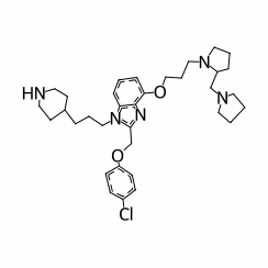 Clc1ccc(OCc2nc3c(OCCCN4CCCC4CN4CCCC4)cccc3n2CCCC2CCNCC2)cc1